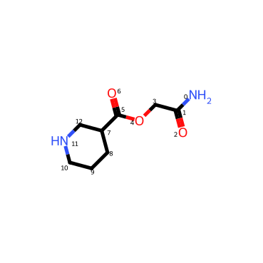 NC(=O)COC(=O)C1CCCNC1